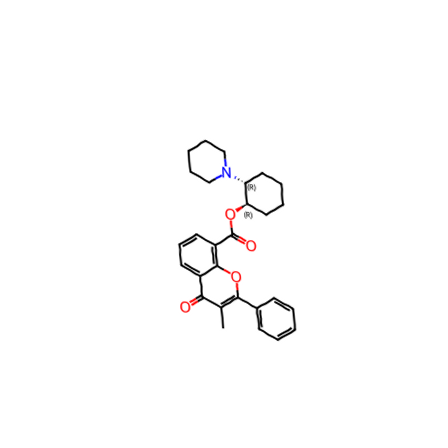 Cc1c(-c2ccccc2)oc2c(C(=O)O[C@@H]3CCCC[C@H]3N3CCCCC3)cccc2c1=O